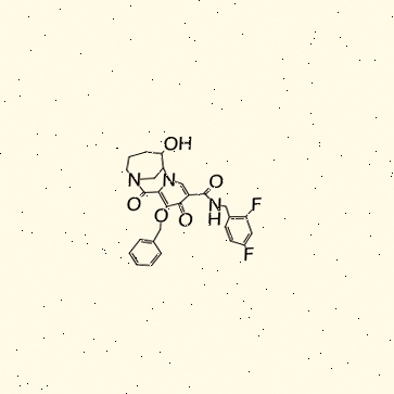 O=C(NCc1ccc(F)cc1F)c1cn2c(c(OCc3ccccc3)c1=O)C(=O)N1CCCC(O)C2C1